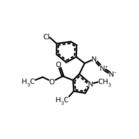 CCOC(=O)c1c(C)cn(C)c1C(N=[N+]=[N-])c1ccc(Cl)cc1